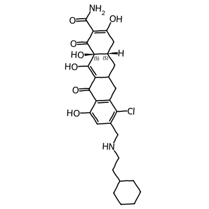 NC(=O)C1=C(O)C[C@@H]2CC3Cc4c(Cl)c(CNCCC5CCCCC5)cc(O)c4C(=O)C3=C(O)[C@]2(O)C1=O